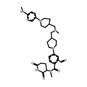 CNc1ccc(N2CCC(CN(C)CC3CCN(c4ccc(C(=O)N(C)C5CCC(=O)NC5=O)c(C=O)c4)CC3)CC2)cn1